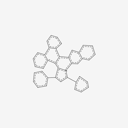 c1ccc(-c2cc(-c3ccccc3)n3c4cc5ccccc5cc4c4c5ccccc5c5ccccc5c4c23)cc1